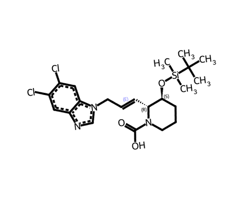 CC(C)(C)[Si](C)(C)O[C@H]1CCCN(C(=O)O)[C@@H]1/C=C/Cn1cnc2cc(Cl)c(Cl)cc21